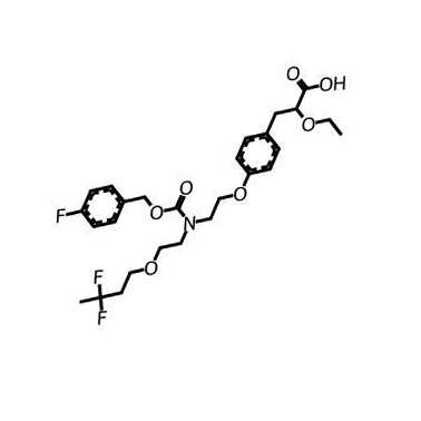 CCOC(Cc1ccc(OCCN(CCOCCC(C)(F)F)C(=O)OCc2ccc(F)cc2)cc1)C(=O)O